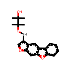 CC(C)(O)C(C)(C)OBc1coc2cc3oc4ccccc4c3cc12